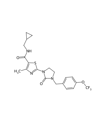 Cc1nc(N2CCN(Cc3ccc(OC(F)(F)F)cc3)C2=O)sc1C(=O)NCC1CC1